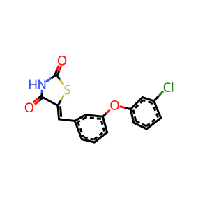 O=C1NC(=O)C(=Cc2cccc(Oc3cccc(Cl)c3)c2)S1